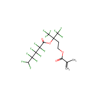 C=C(C)C(=O)OCCC(OC(=O)C(F)(F)C(F)(F)C(F)(F)C(F)F)(C(F)(F)F)C(F)(F)F